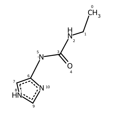 CCNC(=O)[N]c1c[nH]cn1